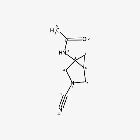 CC(=O)NC12CC1CN(C#N)C2